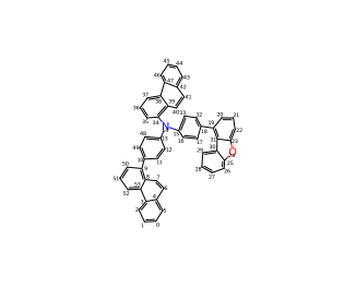 c1ccc2c(c1)ccc1c(-c3ccc(N(c4ccc(-c5cccc6oc7ccccc7c56)cc4)c4cccc5c4ccc4ccccc45)cc3)cccc12